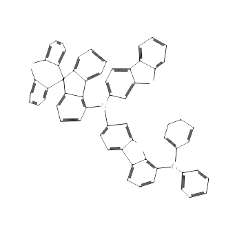 C1=CC(N(c2ccccc2)c2cccc3c2oc2cc(N(c4ccc5c(c4)sc4ccccc45)c4cccc5c4-c4ccccc4C54c5ccccc5Oc5ccccc54)ccc23)=CCC1